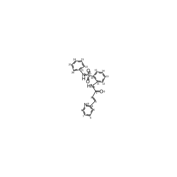 O=C(C=Cc1ccccn1)Nc1ccccc1S(=O)(=O)Nc1ccccc1